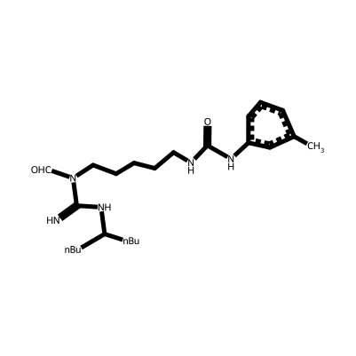 CCCCC(CCCC)NC(=N)N(C=O)CCCCCNC(=O)Nc1cccc(C)c1